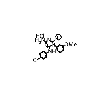 COc1cccc(N2C(N3CCCC3)=NC(N)=NC2Nc2ccc(Cl)cc2)c1.Cl